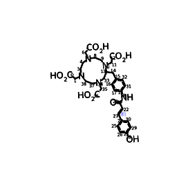 O=C(O)CN1CCN(CC(=O)O)CCN(CC(=O)O)C(Cc2ccc(NC(=O)/C=C/c3ccc(O)cc3)cc2)CN(CC(=O)O)CC1